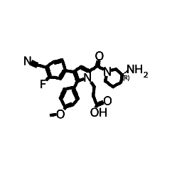 COc1ccc(-c2c(-c3ccc(C#N)c(F)c3)cc(C(=O)N3CCC[C@@H](N)C3)n2CCC(=O)O)cc1